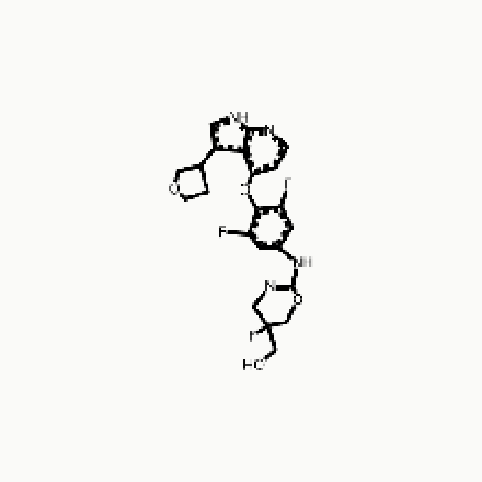 OCC1(F)CN=C(Nc2cc(F)c(Oc3ccnc4[nH]cc(C5CCOC5)c34)c(F)c2)OC1